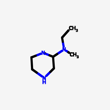 CCN(C)C1CNCC[N]1